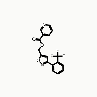 O=C(OCc1cc(-c2ccccc2C(F)(F)F)no1)c1cccnc1